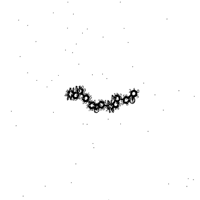 c1ccc2c(c1)oc1ccc(-c3ccnc4c3ccc3ncc(-c5ccc6c(c5)oc5ccc(-c7ccc(-c8ccnc9c8ccc8nccnc89)cc7)cc56)nc34)cc12